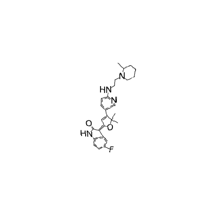 CC1CCCCN1CCNc1ccc(C2=C/C(=C3\C(=O)Nc4ccc(F)cc43)OC2(C)C)cn1